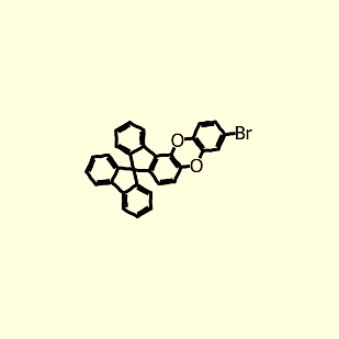 Brc1ccc2c(c1)Oc1ccc3c(c1O2)-c1ccccc1C31c2ccccc2-c2ccccc21